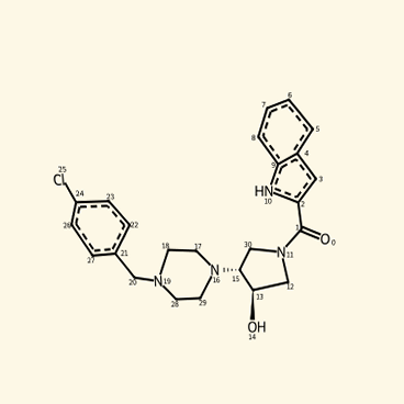 O=C(c1cc2ccccc2[nH]1)N1C[C@@H](O)[C@H](N2CCN(Cc3ccc(Cl)cc3)CC2)C1